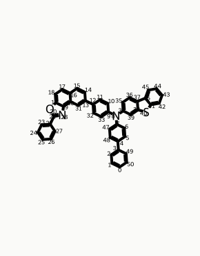 c1ccc(-c2ccc(N(c3ccc(-c4ccc5ccc6oc(-c7ccccc7)nc6c5c4)cc3)c3ccc4c(c3)sc3ccccc34)cc2)cc1